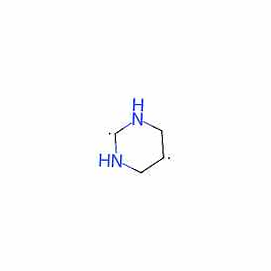 [CH]1CN[CH]NC1